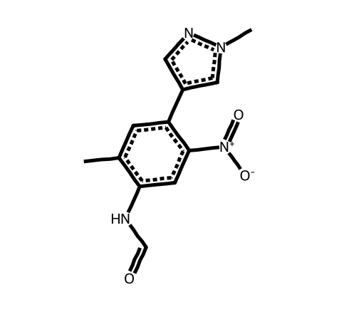 Cc1cc(-c2cnn(C)c2)c([N+](=O)[O-])cc1NC=O